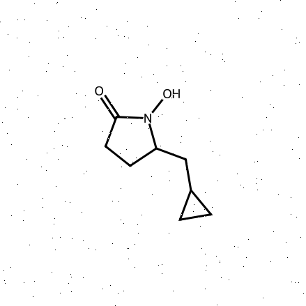 O=C1CCC(CC2CC2)N1O